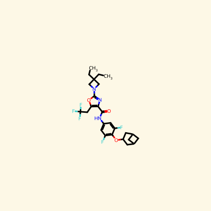 CCC1(CC)CN(c2nc(C(=O)Nc3cc(F)c(OC4CC5CC(C5)C4)c(F)c3)c(CC(F)(F)F)o2)C1